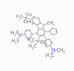 CC1c2ccc(C(C)(C)C)cc2-c2c(-c3ccc(N(C)C)cc3)c(C(C)(C)C)c(-c3ccc(N(C)C)cc3)c(C3=CC=CC3)c21